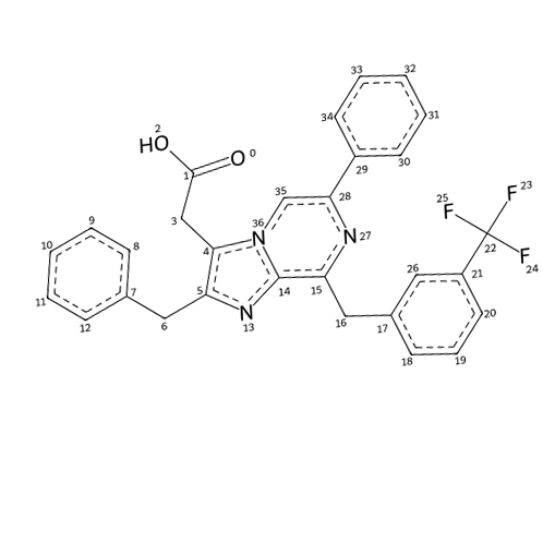 O=C(O)Cc1c(Cc2ccccc2)nc2c(Cc3cccc(C(F)(F)F)c3)nc(-c3ccccc3)cn12